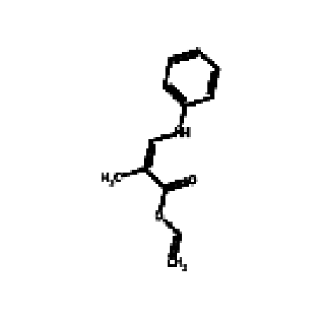 C=COC(=O)C(C)=CNc1ccccc1